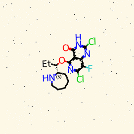 CCC(Oc1nc(Cl)c(F)c2nc(Cl)[nH]c(=O)c12)[C@@H]1CCCCCN1